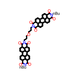 CCCCN1C(=O)c2ccc3c4ccc5c6c(ccc(c7ccc(c2c37)C1=O)c64)C(=O)N(CCCOCCCN1C(=O)c2ccc3c4ccc6c7c(ccc(c8ccc(c2c38)C1=O)c74)C(=O)N(CCCC)C6=O)C5=O